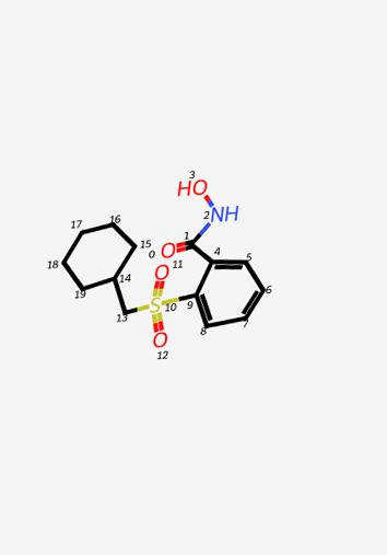 O=C(NO)c1ccccc1S(=O)(=O)CC1CCCCC1